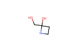 OCC1(O)CC[N]1